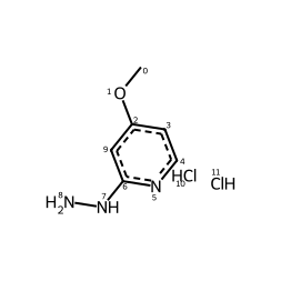 COc1ccnc(NN)c1.Cl.Cl